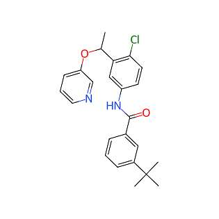 CC(Oc1cccnc1)c1cc(NC(=O)c2cccc(C(C)(C)C)c2)ccc1Cl